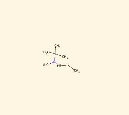 CCBN(C)C(C)(C)C